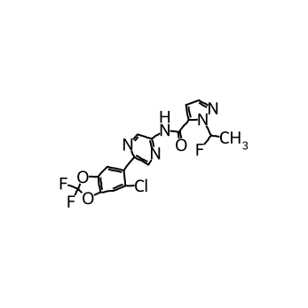 CC(F)n1nccc1C(=O)Nc1cnc(-c2cc3c(cc2Cl)OC(F)(F)O3)cn1